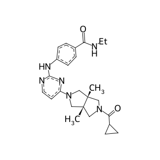 CCNC(=O)c1ccc(Nc2nccc(N3C[C@]4(C)CN(C(=O)C5CC5)C[C@]4(C)C3)n2)cc1